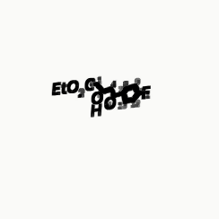 CCOC(=O)C/C(O)=C/C(=O)c1ccc(F)cc1